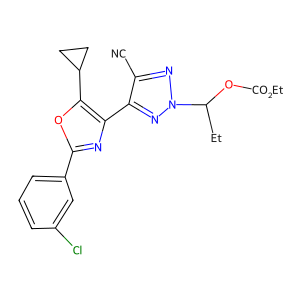 CCOC(=O)OC(CC)n1nc(C#N)c(-c2nc(-c3cccc(Cl)c3)oc2C2CC2)n1